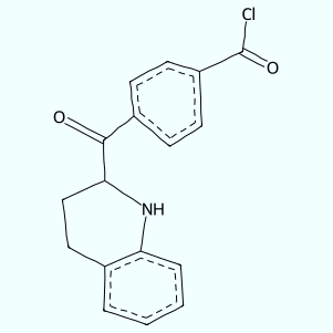 O=C(Cl)c1ccc(C(=O)C2CCc3ccccc3N2)cc1